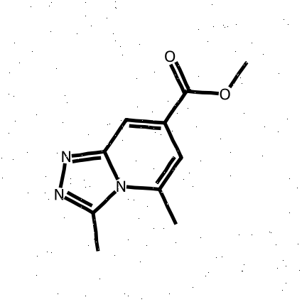 COC(=O)c1cc(C)n2c(C)nnc2c1